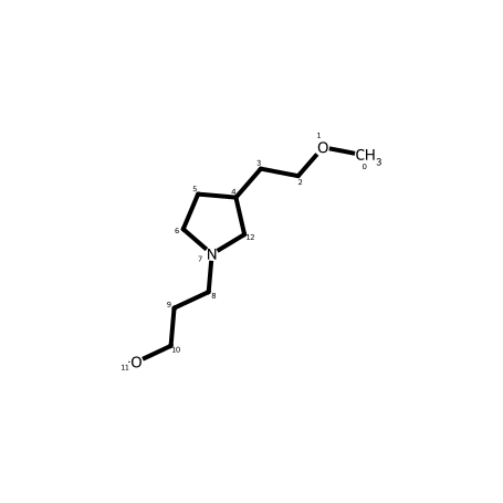 COCCC1CCN(CCC[O])C1